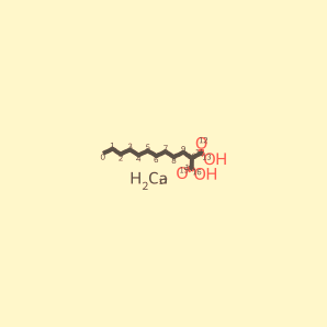 CCCCCCCCCCC(C(=O)O)C(=O)O.[CaH2]